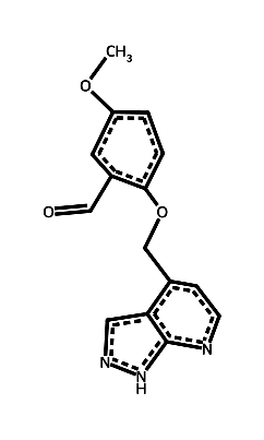 COc1ccc(OCc2ccnc3[nH]ncc23)c(C=O)c1